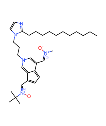 CCCCCCCCCCCc1nccn1CCCn1cc(/C=[N+](/C)[O-])c2ccc(/C=[N+](\[O-])C(C)(C)C)c-2c1